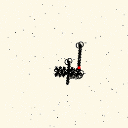 CCCCCCCCCCCCCCCCCC(=O)[O-].CCCCCCCCCCCCCCCCCC(=O)[O-].CCC[CH2][Sn+2][CH2]CCC.CCC[CH2][Sn+2][CH2]CCC.CCC[CH2][Sn+2][CH2]CCC.O=C([O-])/C=C(\C(=O)[O-])c1ccccc1.O=C([O-])/C=C(\C(=O)[O-])c1ccccc1